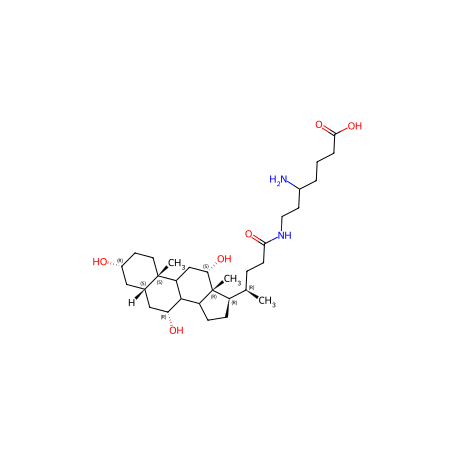 C[C@H](CCC(=O)NCCC(N)CCCC(=O)O)[C@H]1CCC2C3C(C[C@H](O)[C@@]21C)[C@@]1(C)CC[C@@H](O)C[C@H]1C[C@H]3O